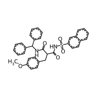 COc1ccc(CC(C(=O)NC(c2ccccc2)c2ccccc2)C(=O)NS(=O)(=O)c2ccc3ccccc3c2)cc1